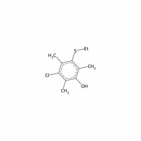 CCSc1c(C)c(O)c(C)c(Cl)c1C